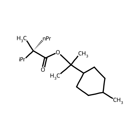 CCC[C@](C)(C(=O)OC(C)(C)C1CCC(C)CC1)C(C)C